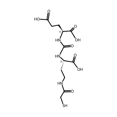 O=C(O)CC[C@H](NC(=O)N[C@@H](CCNC(=O)CS)C(=O)O)C(=O)O